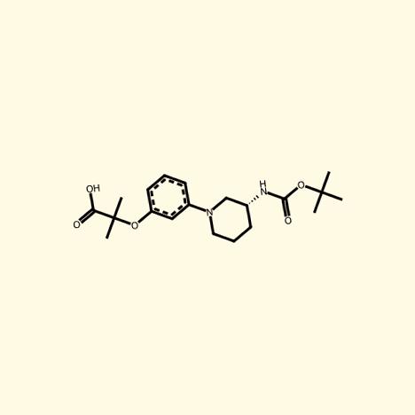 CC(C)(C)OC(=O)N[C@@H]1CCCN(c2cccc(OC(C)(C)C(=O)O)c2)C1